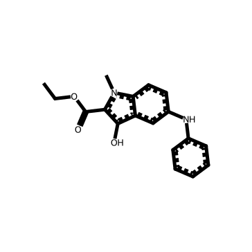 CCOC(=O)c1c(O)c2cc(Nc3ccccc3)ccc2n1C